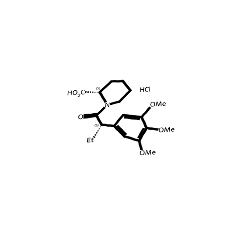 CC[C@H](C(=O)N1CCCC[C@H]1C(=O)O)c1cc(OC)c(OC)c(OC)c1.Cl